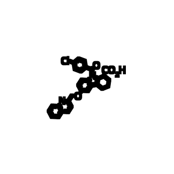 O=C(O)C1CCCc2c1n(C(=O)c1ccc(Cl)cc1)c1ccc(OCc3ccc4ccccc4n3)cc21